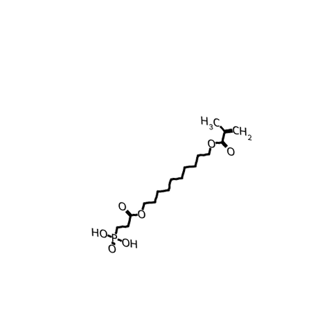 C=C(C)C(=O)OCCCCCCCCCCOC(=O)CCP(=O)(O)O